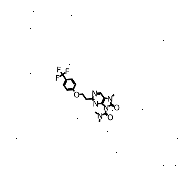 CN(C)C(=O)n1c(=O)n(C)c2cnc(CCOc3ccc(C(F)(F)F)cc3)nc21